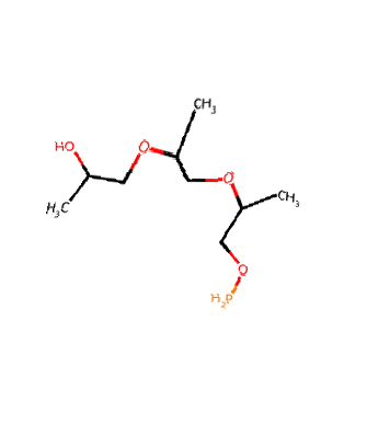 CC(O)COC(C)COC(C)COP